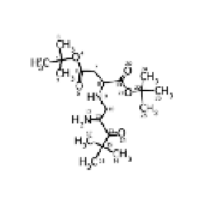 CC(C)(C)OC(=O)CC(NCC(N)C(=O)C(C)(C)C)C(=O)OC(C)(C)C